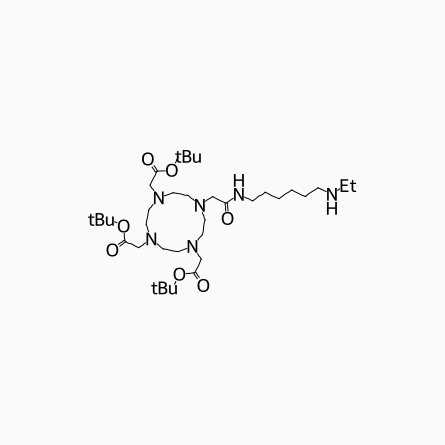 CCNCCCCCCNC(=O)CN1CCN(CC(=O)OC(C)(C)C)CCN(CC(=O)OC(C)(C)C)CCN(CC(=O)OC(C)(C)C)CC1